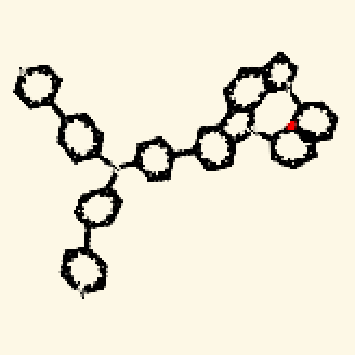 c1ccc(-n2ccc3ccc4c5cc(-c6ccc(N(c7ccc(-c8ccncc8)cc7)c7ccc(-c8ccncc8)cc7)cc6)ccc5n(-c5ccccc5)c4c32)cc1